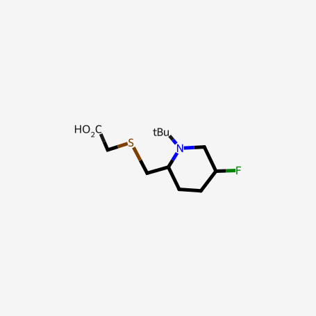 CC(C)(C)N1CC(F)CCC1CSCC(=O)O